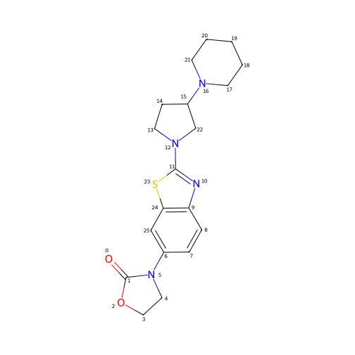 O=C1OCCN1c1ccc2nc(N3CCC(N4CCCCC4)C3)sc2c1